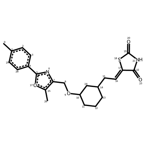 Cc1ccc(-c2nc(COC3CCCC(CC=C4SC(=O)NC4=O)C3)c(C)o2)cc1